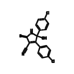 N#CC1=C(c2ccc(Cl)cc2)C(O)(c2ccc(Cl)cc2)NC1=S